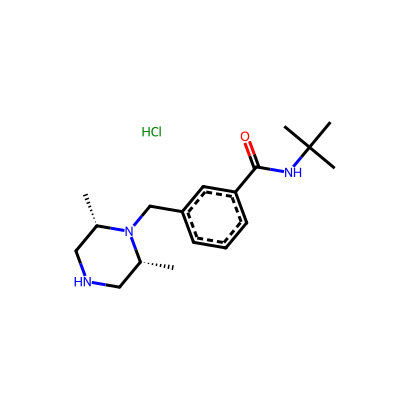 C[C@@H]1CNC[C@H](C)N1Cc1cccc(C(=O)NC(C)(C)C)c1.Cl